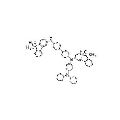 CC1(C)c2ccccc2-c2cc(Nc3ccc(-c4ccc(N(c5ccc(N(c6ccccc6)c6ccccc6)cc5)c5ccc6c(c5)-c5ccccc5C6(C)C)cc4)cc3)ccc21